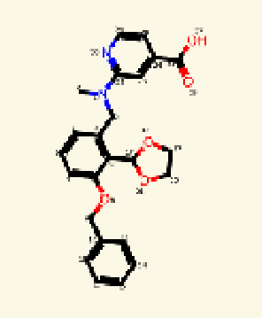 CN(Cc1cccc(OCc2ccccc2)c1C1OCCO1)c1cc(C(=O)O)ccn1